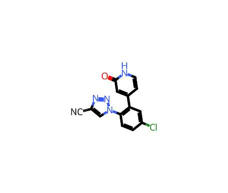 N#Cc1cn(-c2ccc(Cl)cc2-c2cc[nH]c(=O)c2)nn1